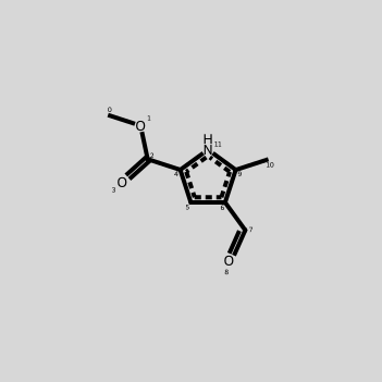 COC(=O)c1cc(C=O)c(C)[nH]1